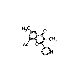 CC(=O)c1cc(C)cc2c(=O)c(C)c(-c3cccnc3)oc12